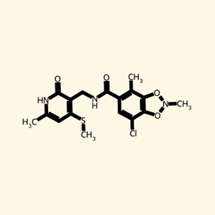 CSc1cc(C)[nH]c(=O)c1CNC(=O)c1cc(Cl)c2c(c1C)ON(C)O2